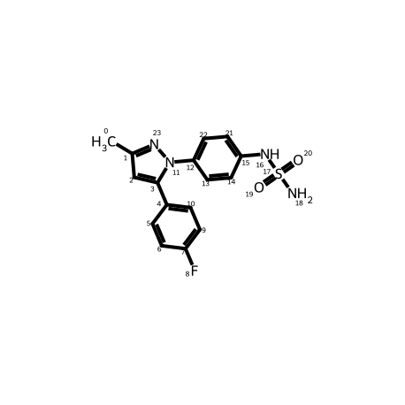 Cc1cc(-c2ccc(F)cc2)n(-c2ccc(NS(N)(=O)=O)cc2)n1